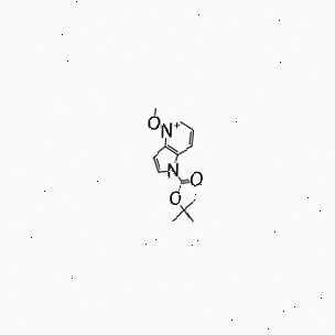 CO[n+]1cccc2c1ccn2C(=O)OC(C)(C)C